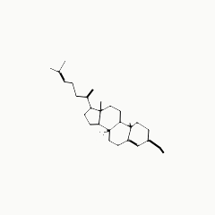 C=C=C1C=C2CCC3(N)C(CCC4(C)C(C(=C)CCC=C(C)C)CCC43)C2(C)CC1